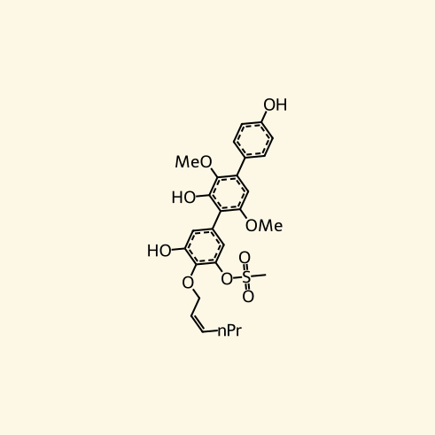 CCC/C=C\COc1c(O)cc(-c2c(OC)cc(-c3ccc(O)cc3)c(OC)c2O)cc1OS(C)(=O)=O